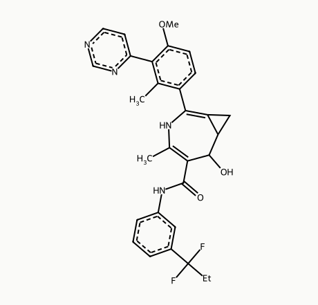 CCC(F)(F)c1cccc(NC(=O)C2=C(C)NC(c3ccc(OC)c(-c4ccncn4)c3C)=C3CC3C2O)c1